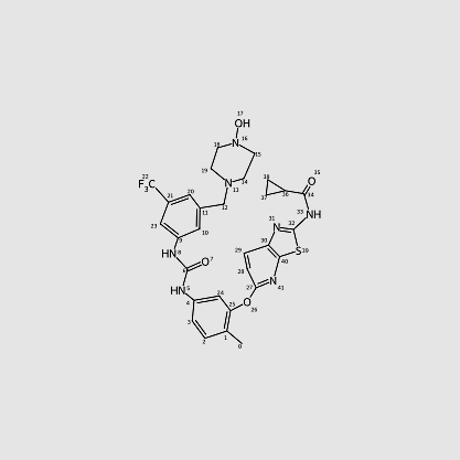 Cc1ccc(NC(=O)Nc2cc(CN3CCN(O)CC3)cc(C(F)(F)F)c2)cc1Oc1ccc2nc(NC(=O)C3CC3)sc2n1